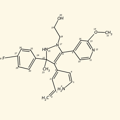 C=C/C=C(\C=C/N)C1=C(c2ccnc(OC)c2)N(CCO)NC1(C)c1ccc(F)cc1